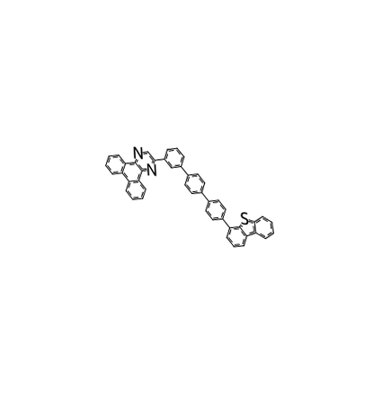 c1cc(-c2ccc(-c3ccc(-c4cccc5c4sc4ccccc45)cc3)cc2)cc(-c2cnc3c4ccccc4c4ccccc4c3n2)c1